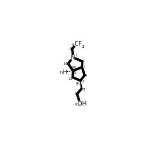 OCC[C@@H]1CC2CN(CC(F)(F)F)C[C@@H]2C1